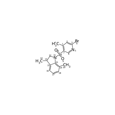 Cc1cc(Br)ncc1S(=O)(=O)N1CC(C)c2cccc(C)c21